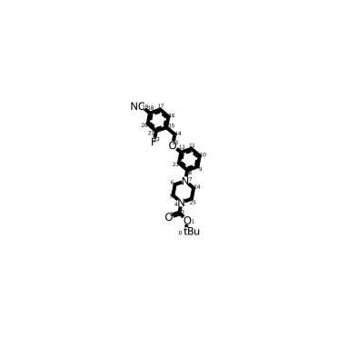 CC(C)(C)OC(=O)N1CCN(c2cccc(OCc3ccc(C#N)cc3F)c2)CC1